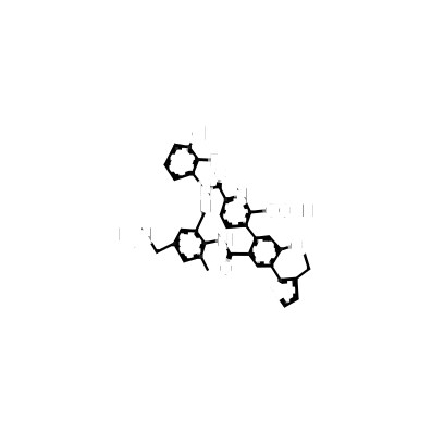 Cc1cc(CN)cc(C)c1NC(=O)c1cc2c(cc1-c1ccc(C(=O)Nc3cccc(Cl)c3F)nc1C(=O)O)OCCc1ccsc1-2